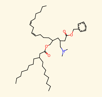 CCCCC/C=C\C/C=C\CCCC(COC(=O)CC(CCCCCCCC)CCCCCCCC)CC(CC(=O)OCc1ccccc1)CN(C)C